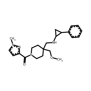 COCC1(CNC2CC2c2ccccc2)CCN(C(=O)c2ccn(C)n2)CC1